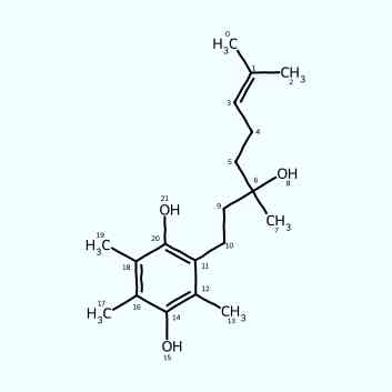 CC(C)=CCCC(C)(O)CCc1c(C)c(O)c(C)c(C)c1O